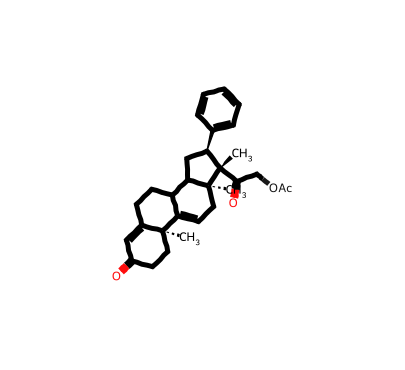 CC(=O)OCC(=O)[C@@]1(C)[C@H](c2ccccc2)CC2C3CCC4=CC(=O)CC[C@]4(C)C3=CC[C@@]21C